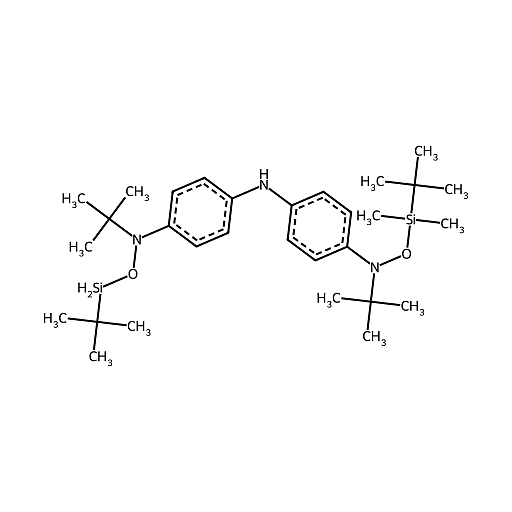 CC(C)(C)[SiH2]ON(c1ccc(Nc2ccc(N(O[Si](C)(C)C(C)(C)C)C(C)(C)C)cc2)cc1)C(C)(C)C